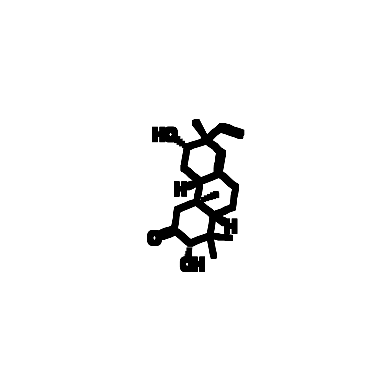 C=C[C@]1(C)C=C2CC[C@@H]3C(C)(C)[C@H](O)C(=O)C[C@@]3(C)[C@@H]2C[C@@H]1O